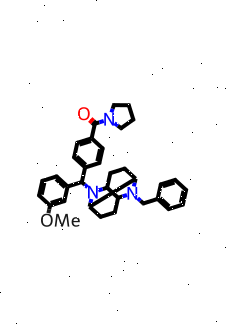 COc1cccc(C(c2ccc(C(=O)N3CCCC3)cc2)N2C3CCC4C2CCC3N4Cc2ccccc2)c1